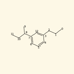 CCCc1c[c]cc(C(C)CC)c1